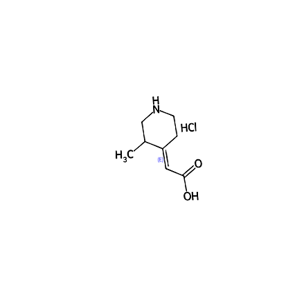 CC1CNCC/C1=C\C(=O)O.Cl